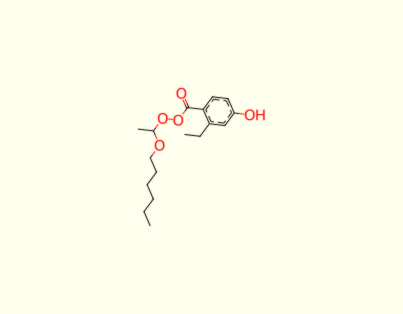 CCCCCCOC(C)OOC(=O)c1ccc(O)cc1CC